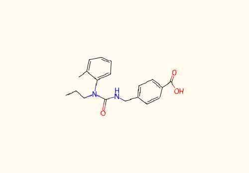 CCCN(C(=O)NCc1ccc(C(=O)O)cc1)c1ccccc1C